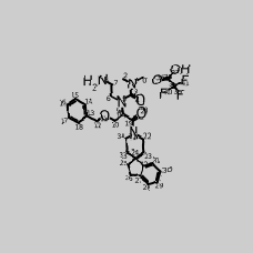 CN(C)C(=O)N(CCN)[C@H](COCc1ccccc1)C(=O)N1CCC2(CCc3ccccc32)CC1.O=C(O)C(F)(F)F